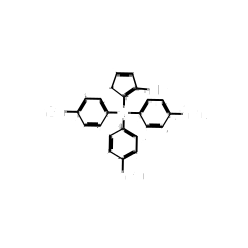 CCCCc1ccc([Si](C2=C(CCC)C=CC2)(c2ccc(CCCC)cc2)c2ccc(CCCC)cc2)cc1